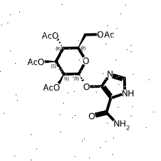 CC(=O)OC[C@H]1O[C@H](Oc2nc[nH]c2C(N)=O)[C@@H](OC(C)=O)[C@@H](OC(C)=O)[C@@H]1OC(C)=O